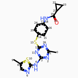 Cc1nc(Nc2ncc(C)s2)nc(Sc2ccc(NC(=O)C3CC3)cc2)n1